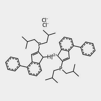 CC(C)CP(CC(C)C)C1=Cc2c(-c3ccccc3)cccc2[CH]1[Hf+2][CH]1C(P(CC(C)C)CC(C)C)=Cc2c(-c3ccccc3)cccc21.[Cl-].[Cl-]